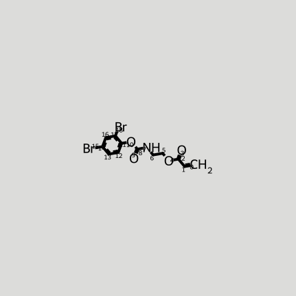 C=CC(=O)OCCNC(=O)Oc1ccc(Br)cc1Br